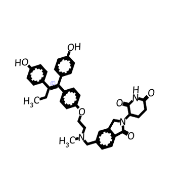 CC/C(=C(/c1ccc(O)cc1)c1ccc(OCCN(C)Cc2ccc3c(c2)CN(C2CCC(=O)NC2=O)C3=O)cc1)c1ccc(O)cc1